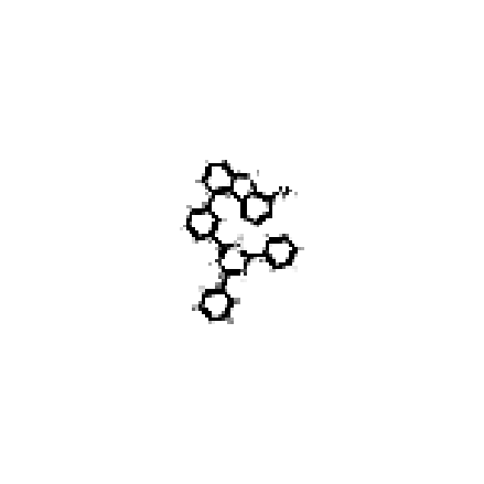 Cc1cccc2c1oc1cccc(-c3cccc(-c4nc(-c5ccccc5)nc(-c5ccccc5)n4)c3)c12